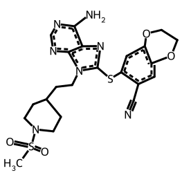 CS(=O)(=O)N1CCC(CCn2c(Sc3cc4c(cc3C#N)OCCO4)nc3c(N)ncnc32)CC1